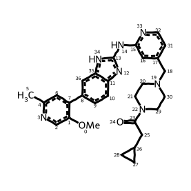 COc1cnc(C)cc1-c1ccc2nc(Nc3cc(CN4CCN(C(=O)CC5CC5)CC4)ccn3)[nH]c2c1